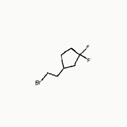 FC1(F)CCC(CCBr)C1